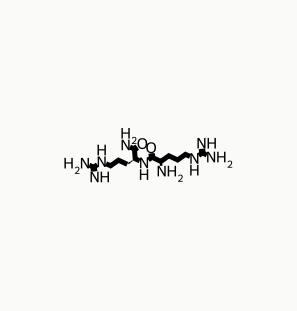 N=C(N)NCCC[C@@H](N)C(=O)N[C@H](CCCNC(=N)N)C(N)=O